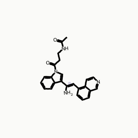 CC(=O)NCCC(=O)n1cc(/C(N)=C/c2cccc3cnccc23)c2ccccc21